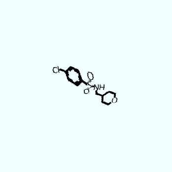 O=S(=O)(NCC1CCOCC1)c1ccc(Cl)cc1